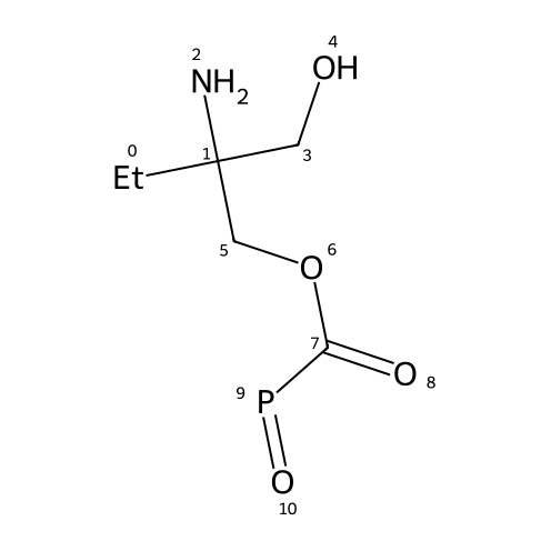 CCC(N)(CO)COC(=O)P=O